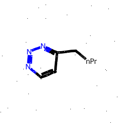 CCCCc1c[c]nnn1